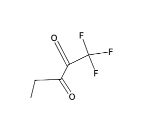 CCC(=O)C(=O)C(F)(F)F